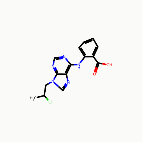 CC(Cl)Cn1cnc2c(Nc3ccccc3C(=O)O)ncnc21